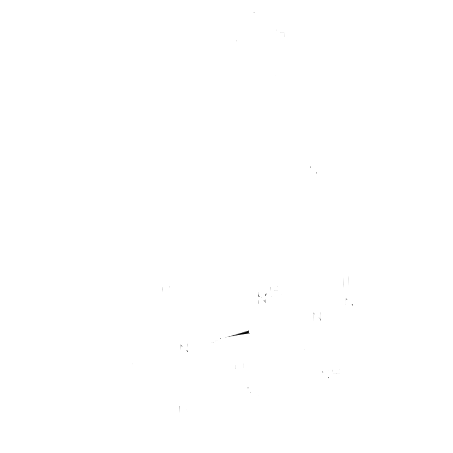 [2H]C([2H])([2H])Oc1ccc(-c2ccc(-c3cnn4c(N)c(C(C)=O)c([C@H]5C[C@H]6CC[C@@H](C5)N6C(=O)CO)nc34)cn2)cc1